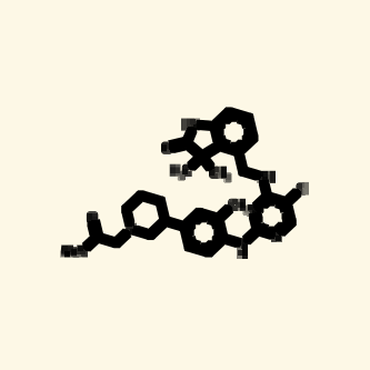 CNC(=O)CN1CCCC(c2ccc(Nc3ncc(Cl)c(NCc4cccc5c4C(C)(C)C(=O)N5)n3)c(C)c2)C1